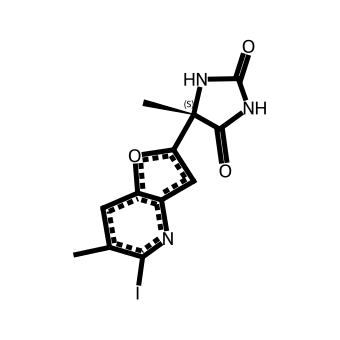 Cc1cc2oc([C@]3(C)NC(=O)NC3=O)cc2nc1I